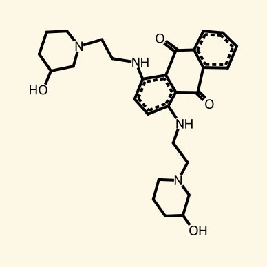 O=C1c2ccccc2C(=O)c2c(NCCN3CCCC(O)C3)ccc(NCCN3CCCC(O)C3)c21